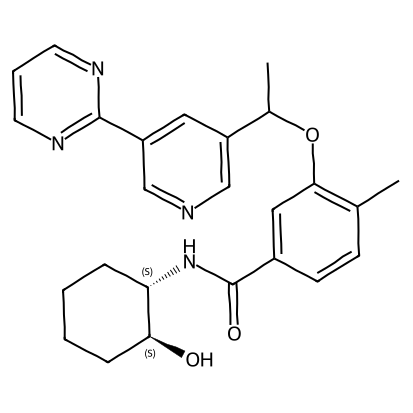 Cc1ccc(C(=O)N[C@H]2CCCC[C@@H]2O)cc1OC(C)c1cncc(-c2ncccn2)c1